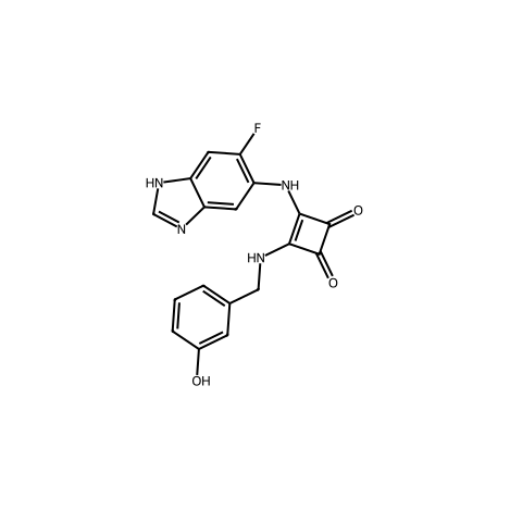 O=c1c(NCc2cccc(O)c2)c(Nc2cc3nc[nH]c3cc2F)c1=O